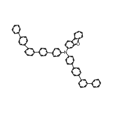 c1ccc(-c2ccc(-c3cccc(-c4ccc(-c5ccc(N(c6ccc(-c7ccc(-c8cccc(-c9ccccc9)c8)cc7)cc6)c6ccc7c(c6)oc6ccccc67)cc5)cc4)c3)cc2)cc1